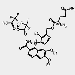 CCOc1cc2ncc(C(N)=O)c(Nc3cccc(COC(=O)[C@@H](N)CCC(N)=O)c3CC)c2cc1OCC.O=C(O)C(F)(F)F.O=C(O)C(F)(F)F